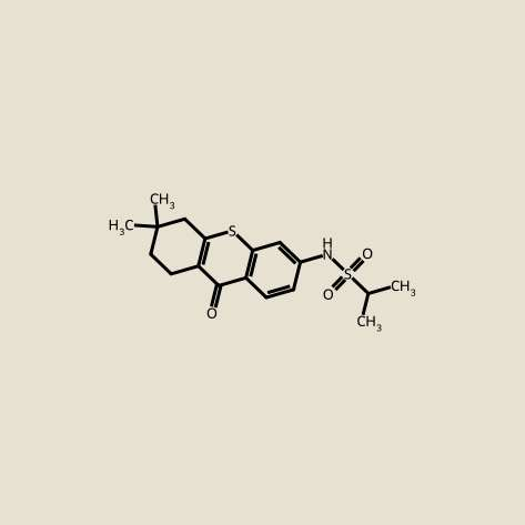 CC(C)S(=O)(=O)Nc1ccc2c(=O)c3c(sc2c1)CC(C)(C)CC3